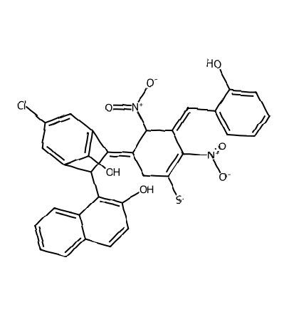 O=[N+]([O-])C1=C([S])CC(=C2c3cc(Cl)cc(c3O)C2c2c(O)ccc3ccccc23)C([N+](=O)[O-])C1=Cc1ccccc1O